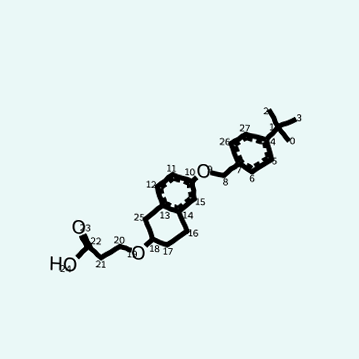 CC(C)(C)c1ccc(COc2ccc3c(c2)CCC(OCCC(=O)O)C3)cc1